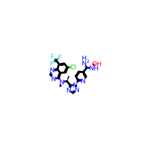 C[C@@H](c1ncnn1-c1ccc(C(N)NO)cn1)N(C)c1ncnc2c(C(F)(F)F)cc(Cl)cc12